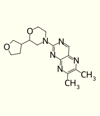 Cc1nc2cnc(N3CCOC(C4CCOC4)C3)nc2nc1C